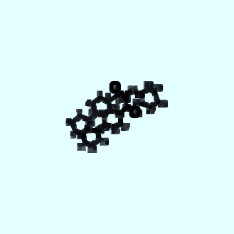 O=C1c2ccc3c4cccc5cccc(c6ccc(c2c36)C(=O)N1Cc1ccccc1)c54